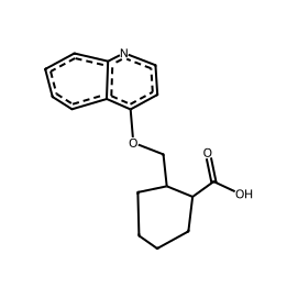 O=C(O)C1CCCCC1COc1ccnc2ccccc12